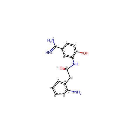 N=C(N)c1ccc(O)c(NC(=O)Cc2ccccc2N)c1